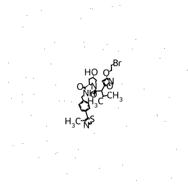 Cc1ncsc1-c1ccc(CNC(=O)[C@H]2C[C@H](O)CN2C(=O)C(c2cc(OCCBr)no2)C(C)C)cc1